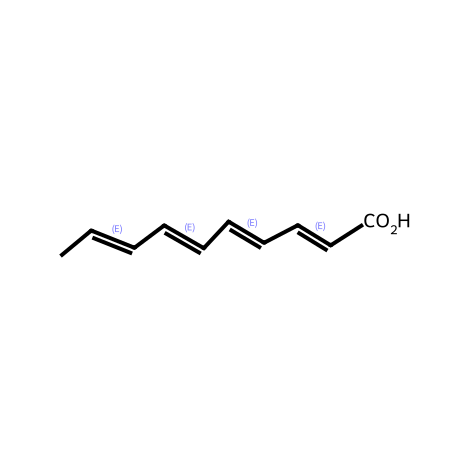 C/C=C/C=C/C=C/C=C/C(=O)O